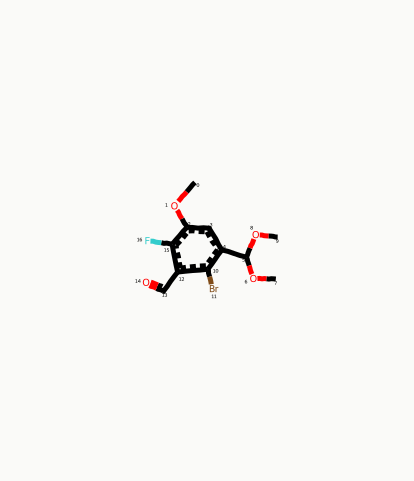 COc1cc(C(OC)OC)c(Br)c(C=O)c1F